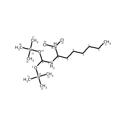 CCCCCCC([SiH2]C(O[Si](C)(C)C)O[Si](C)(C)C)[SiH](Cl)Cl